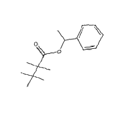 CC(OC(=O)C(C)(C)C(C)(C)C)c1ccccc1